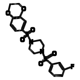 O=S(=O)(c1cccc(F)c1)N1CCN(S(=O)(=O)c2ccc3c(c2)OCCO3)CC1